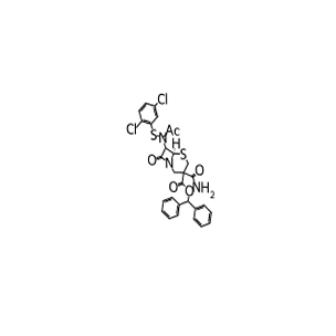 CC(=O)N(Sc1cc(Cl)ccc1Cl)C1C(=O)N2CC(C(N)=O)(C(=O)OC(c3ccccc3)c3ccccc3)CS[C@H]12